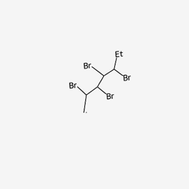 [CH2]CC(Br)C(Br)C(Br)C([CH2])Br